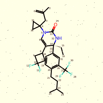 C=C(C)CC1(N2C=C(C3CC(F)(F)C3)[C@](CC)(c3ccc(CCC(C)C)c(C(F)(F)F)c3)NC2=O)CC1